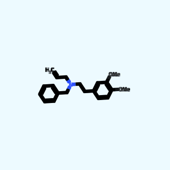 C=CCN(CCc1ccc(OC)c(OC)c1)Cc1ccccc1